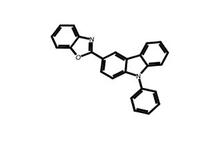 c1ccc(-n2c3ccccc3c3cc(-c4nc5ccccc5o4)ccc32)cc1